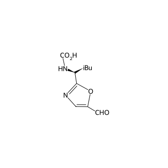 CC[C@H](C)[C@H](NC(=O)O)c1ncc(C=O)o1